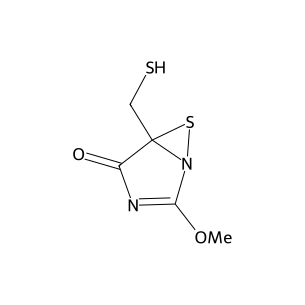 COC1=NC(=O)C2(CS)SN12